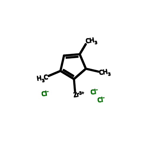 CC1=CC(C)=[C]([Zr+3])C1C.[Cl-].[Cl-].[Cl-]